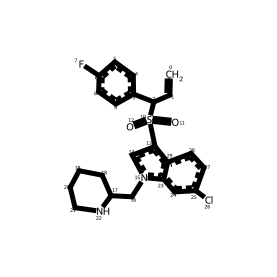 C=CC(c1ccc(F)cc1)S(=O)(=O)c1cn(CC2CCCCN2)c2cc(Cl)ccc12